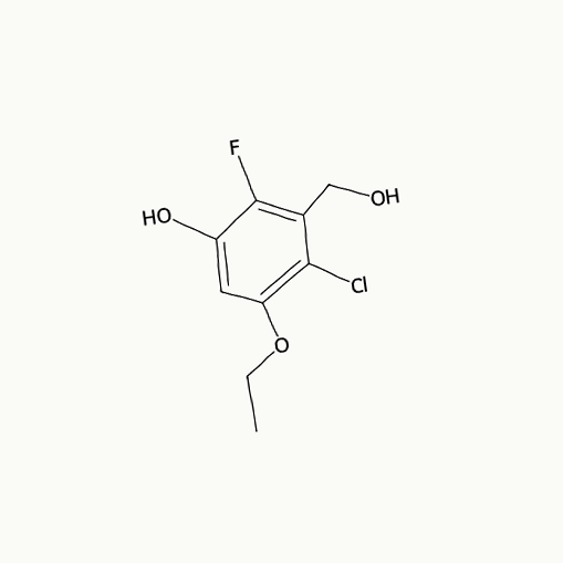 CCOc1cc(O)c(F)c(CO)c1Cl